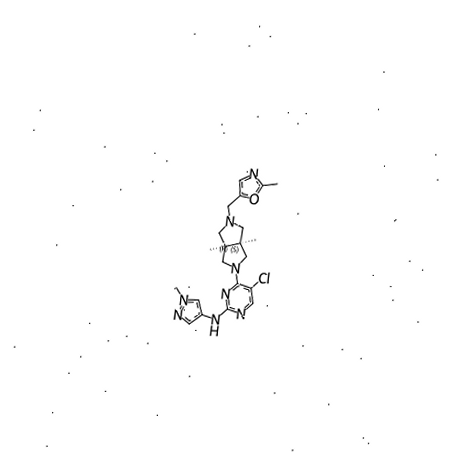 Cc1ncc(CN2C[C@@]3(C)CN(c4nc(Nc5cnn(C)c5)ncc4Cl)C[C@@]3(C)C2)o1